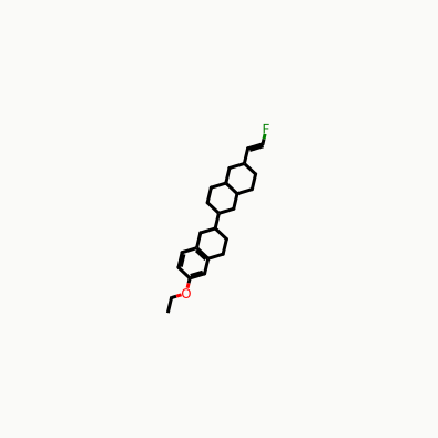 CCOc1ccc2c(c1)CCC(C1CCC3CC(C=CF)CCC3C1)C2